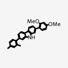 COc1ccc(-c2ccc3c(c2)[nH]c2cc(-c4ccc(C)cc4C)ccc23)c(OC)c1